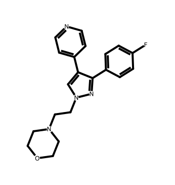 Fc1ccc(-c2nn(CCN3CCOCC3)cc2-c2ccncc2)cc1